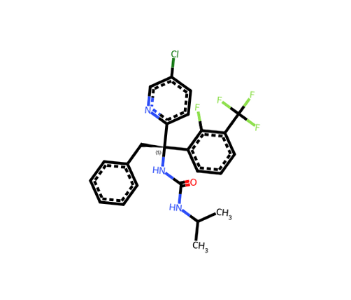 CC(C)NC(=O)N[C@](Cc1ccccc1)(c1ccc(Cl)cn1)c1cccc(C(F)(F)F)c1F